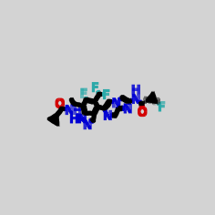 CC(NC(=O)C1CC1)c1c(F)c(C(F)F)c(-c2cn3cc(NC(=O)[C@@H]4C[C@@H]4F)nc3cn2)c2cn[nH]c12